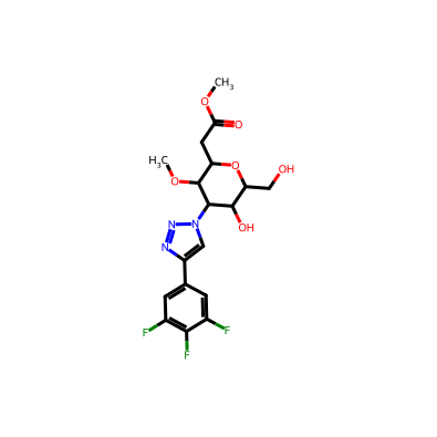 COC(=O)CC1OC(CO)C(O)C(n2cc(-c3cc(F)c(F)c(F)c3)nn2)C1OC